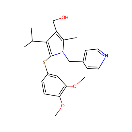 COc1ccc(Sc2c(C(C)C)c(CO)c(C)n2Cc2ccncc2)cc1OC